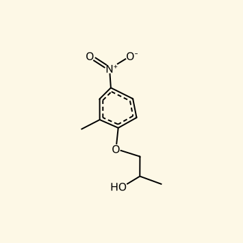 Cc1cc([N+](=O)[O-])ccc1OCC(C)O